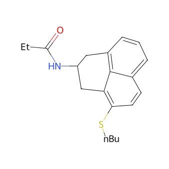 CCCCSc1ccc2cccc3c2c1CC(NC(=O)CC)C3